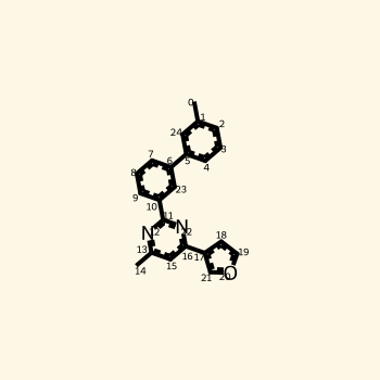 Cc1cccc(-c2cccc(-c3nc(C)cc(-c4ccoc4)n3)c2)c1